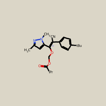 Cc1cc(/C(OCOC(=O)C(C)C)=C(\C#N)c2ccc(C(C)(C)C)cc2)n(C)n1